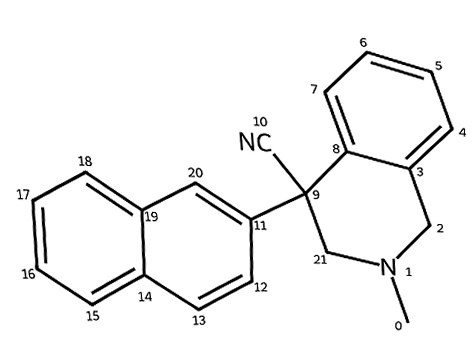 CN1Cc2ccccc2C(C#N)(c2ccc3ccccc3c2)C1